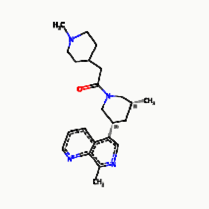 Cc1ncc([C@H]2C[C@@H](C)CN(C(=O)CC3CCN(C)CC3)C2)c2cccnc12